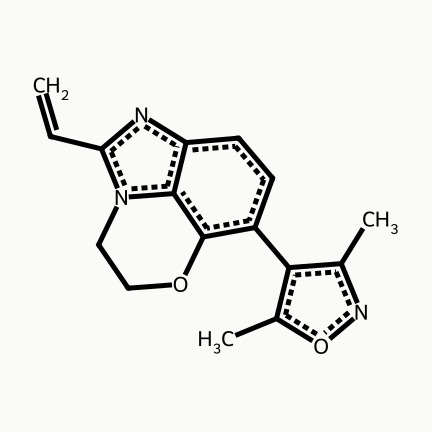 C=Cc1nc2ccc(-c3c(C)noc3C)c3c2n1CCO3